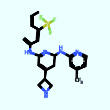 C=C(/C=C(\C=C/C)S(F)(F)F)NC1=NC(Nc2cc(C(F)(F)F)ccn2)CC(C2CNC2)=C1